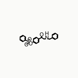 O=C(CNCc1ccccc1)c1ccc(OS(=O)(=O)c2ccccc2)cc1